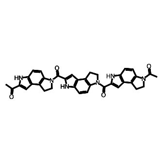 CC(=O)c1cc2c3c(ccc2[nH]1)N(C(=O)c1cc2c4c(ccc2[nH]1)N(C(=O)c1cc2c5c(ccc2[nH]1)N(C(C)=O)CC5)CC4)CC3